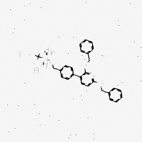 CC(C)(C)[Si](C)(C)OCc1ccc(-c2ccc(OCc3ccccc3)nc2OCc2ccccc2)cc1